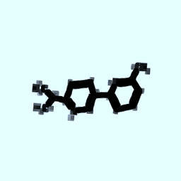 Cc1cccc(-c2ccc(C(C)C)nc2)n1